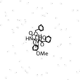 COc1ccc(CC(C=O)(NNC(=O)c2ccccc2)NC(=O)OCc2ccccc2)cc1